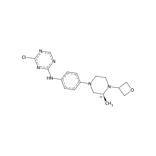 C[C@H]1CN(c2ccc(Nc3ncnc(Cl)n3)cc2)CCN1C1COC1